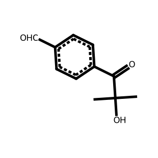 CC(C)(O)C(=O)c1ccc(C=O)cc1